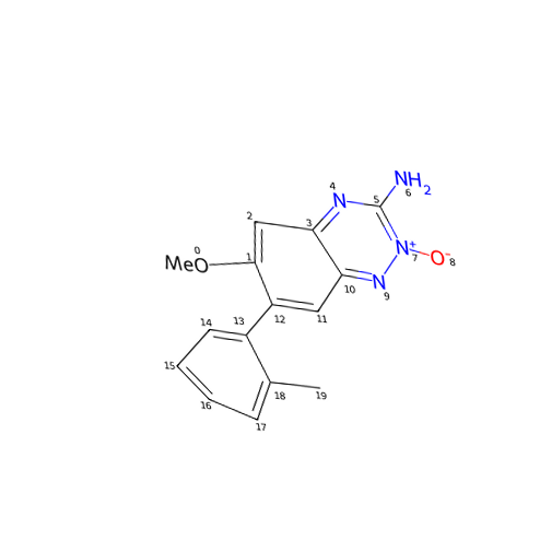 COc1cc2nc(N)[n+]([O-])nc2cc1-c1ccccc1C